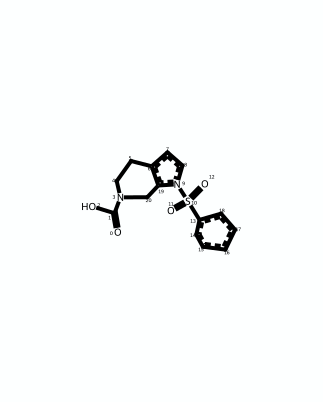 O=C(O)N1CCc2ccn(S(=O)(=O)c3ccccc3)c2C1